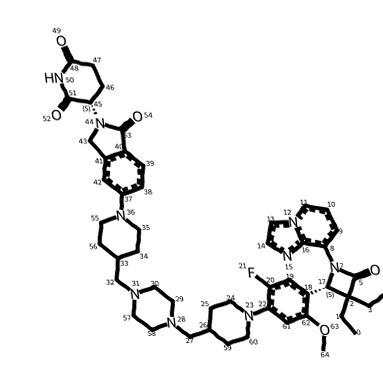 CCC1(CC)C(=O)N(c2cccn3ccnc23)[C@H]1c1cc(F)c(N2CCC(CN3CCN(CC4CCN(c5ccc6c(c5)CN([C@H]5CCC(=O)NC5=O)C6=O)CC4)CC3)CC2)cc1OC